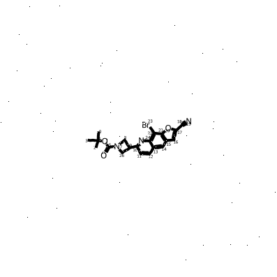 CC(C)(C)OC(=O)N1CC(c2ccc3cc4cc(C#N)oc4c(Br)c3n2)C1